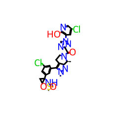 C[C@H]1c2nn(C)c(-c3cc(Cl)cc(C4(NS(C)(=O)=O)CC4)c3)c2CCN1C(=O)c1ncn(-c2cc(Cl)cnc2O)n1